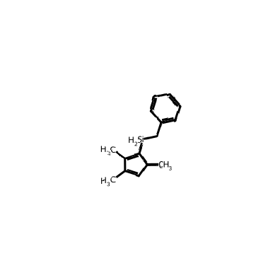 CC1=CC(C)C([SiH2]Cc2ccccc2)=C1C